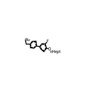 CCCCCCCOc1ccc(-c2ccc(CC(C)CC)cc2)cc1F